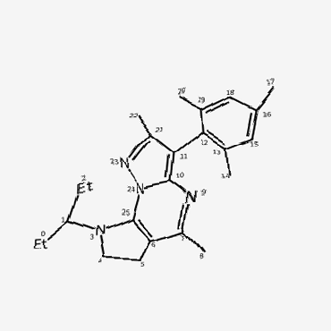 CCC(CC)N1CCc2c(C)nc3c(-c4c(C)cc(C)cc4C)c(C)nn3c21